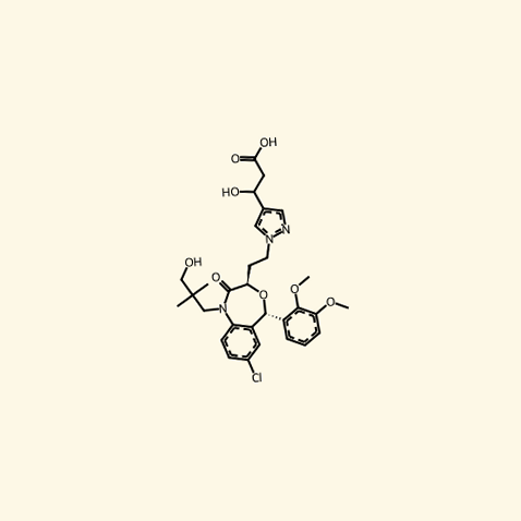 COc1cccc([C@H]2O[C@H](CCn3cc(C(O)CC(=O)O)cn3)C(=O)N(CC(C)(C)CO)c3ccc(Cl)cc32)c1OC